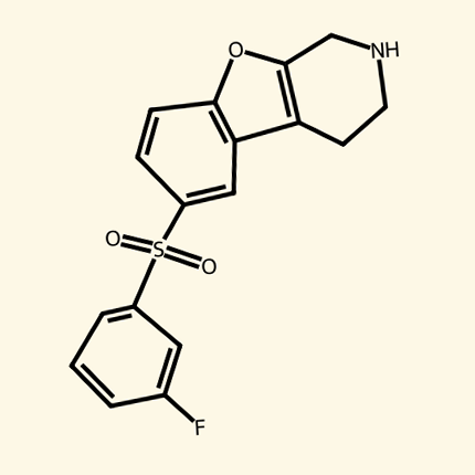 O=S(=O)(c1cccc(F)c1)c1ccc2oc3c(c2c1)CCNC3